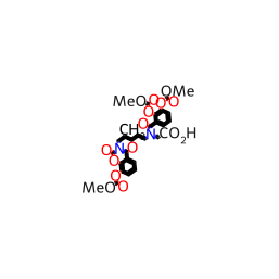 COC(=O)Oc1cccc(C(=O)N(CCCC(C)Cn2c(=O)oc3c(OC(=O)OC)cccc3c2=O)CC(=O)O)c1OC(=O)OC